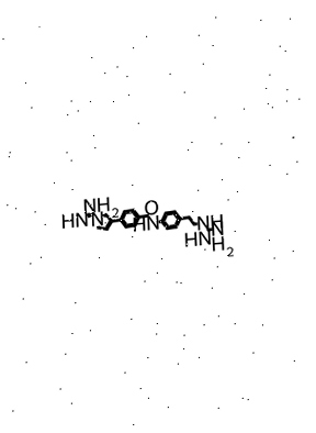 N=C(N)NCCc1ccc(NC(=O)c2ccc(C3=CCN(C(=N)N)C3)cc2)cc1